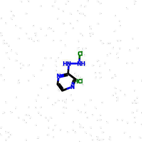 Cl.ClNNc1cnccn1